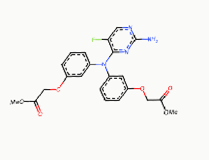 COC(=O)COc1cccc(N(c2cccc(OCC(=O)OC)c2)c2nc(N)ncc2F)c1